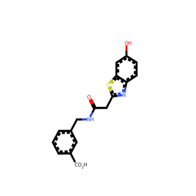 O=C(Cc1nc2ccc(O)cc2s1)NCc1cccc(C(=O)O)c1